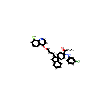 COC(=O)C1(Nc2cccc(Cl)c2)CCC2(CC1)c1ccccc1CC2CCCOc1ccnc2c1CCCC2F